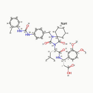 COc1ccc([C@H](CC(=O)O)NC(=O)[C@H](CC(C)C)N2C(=O)N(Cc3ccc(NC(=O)Nc4ccccc4C)cc3)C3(CCCCC3)C2=O)cc1OC.[NaH]